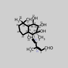 CC(=C/C=O)/C=C/[C@H]1[C@](C)(O)[C@@H](O)[C@H](O)C2C(C)(C)CCC[C@@]21C